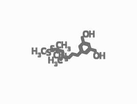 CSSC(C)(C)CN(C)CCCc1cc(CO)cc(CO)c1